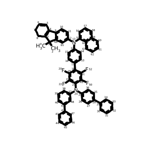 CC1(C)C2=C(C=CCC2)c2ccc(N(c3ccc(-c4c(F)c(F)c(N(c5ccc(-c6ccccc6)cc5)c5cccc(-c6ccccc6)c5)c(F)c4F)cc3)c3cccc4ccccc34)cc21